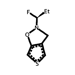 [CH2]C[C@H](F)N1Cc2cscc2O1